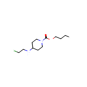 CCCCOC(=O)N1CCC(NCCCl)CC1